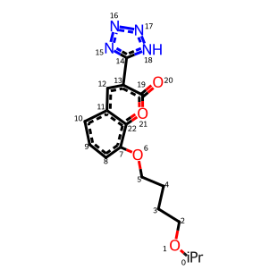 CC(C)OCCCCOc1cccc2cc(-c3nnn[nH]3)c(=O)oc12